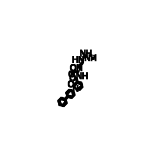 N=C(N)NCCC[C@H](NC(=O)c1cccn(-c2ccc(-c3ccccc3)cc2)c1=O)C(=O)O